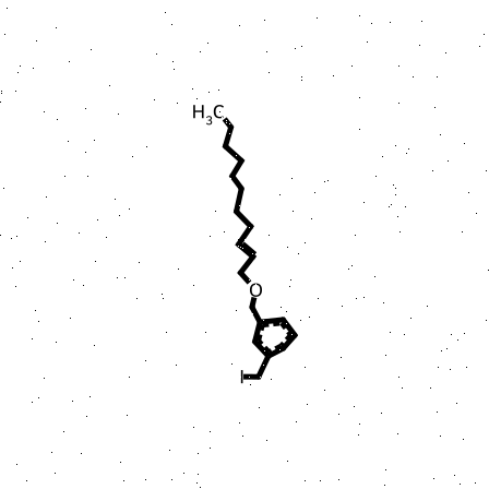 CCCCCCCCC=CCOCc1cccc(CI)c1